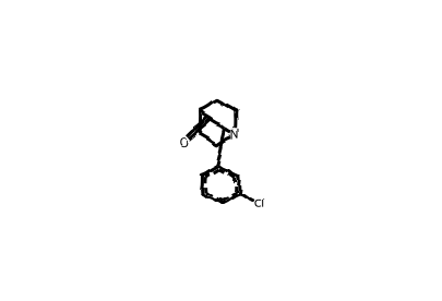 O=C1C2CCN(CC2)C1c1cccc(Cl)c1